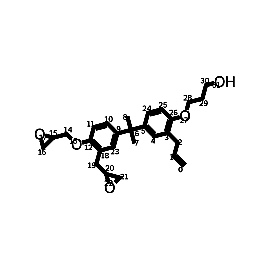 C=CCc1cc(C(C)(C)c2ccc(OCC3CO3)c(CC3CO3)c2)ccc1OCCCO